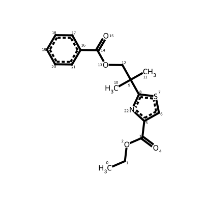 CCOC(=O)c1csc(C(C)(C)COC(=O)c2ccccc2)n1